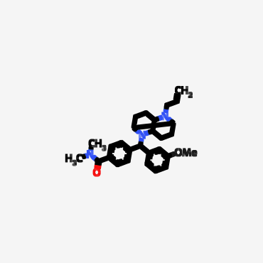 C=CCN1C2CCC3C1CCC2N3C(c1ccc(C(=O)N(C)C)cc1)c1cccc(OC)c1